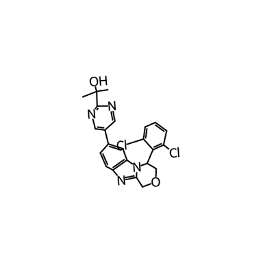 CC(C)(O)c1ncc(-c2ccc3nc4n(c3c2)C(c2c(Cl)cccc2Cl)COC4)cn1